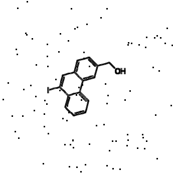 OCc1ccc2cc(I)c3ccccc3c2c1